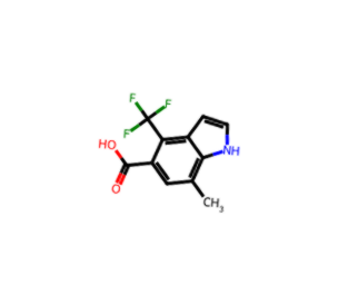 Cc1cc(C(=O)O)c(C(F)(F)F)c2cc[nH]c12